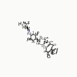 NC(=S)N/N=C/c1cc(F)c(N2CCN(Cc3ccc(Cl)c(Cl)c3)CC2)cc1F